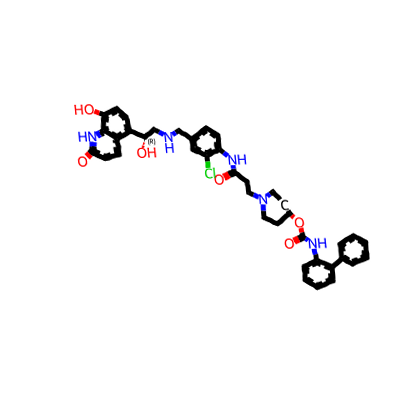 O=C(CCN1CCC(OC(=O)Nc2ccccc2-c2ccccc2)CC1)Nc1ccc(CNC[C@H](O)c2ccc(O)c3[nH]c(=O)ccc23)cc1Cl